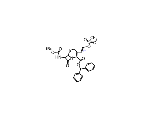 CC(C)(C)OC(=O)NC1C(=O)N2C(C(=O)OC(c3ccccc3)c3ccccc3)=C(/C=C/OS(=O)(=O)C(F)(F)F)CSC12